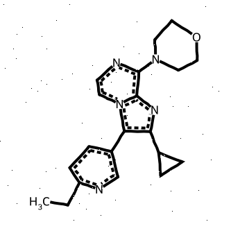 CCc1ccc(-c2c(C3CC3)nc3c(N4CCOCC4)nccn23)cn1